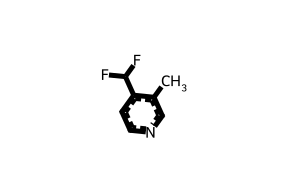 Cc1cnccc1C(F)F